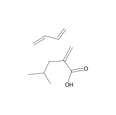 C=C(CC(C)C)C(=O)O.C=CC=C